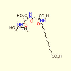 C[C@H](NC(=O)CC[C@H](NC(=O)CC[C@H](NC(=O)CCCCCCCCCCCCCCC(=O)O)C(=O)O)C(=O)O)C(=O)O